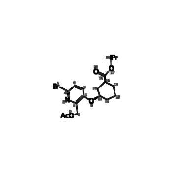 CC(=O)OCc1nc(Br)ccc1O[C@@H]1CCC[C@H](C(=O)OC(C)C)C1